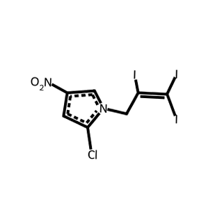 O=[N+]([O-])c1cc(Cl)n(CC(I)=C(I)I)c1